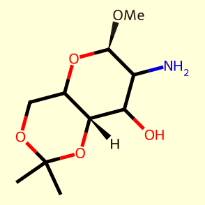 CO[C@@H]1OC2COC(C)(C)O[C@H]2C(O)C1N